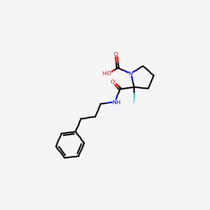 O=C(O)N1CCCC1(F)C(=O)NCCCc1ccccc1